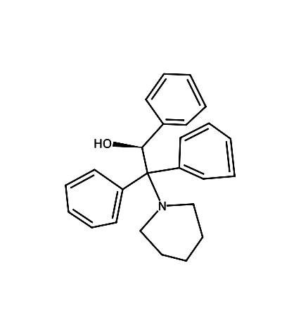 O[C@@H](c1ccccc1)C(c1ccccc1)(c1ccccc1)N1CCCCC1